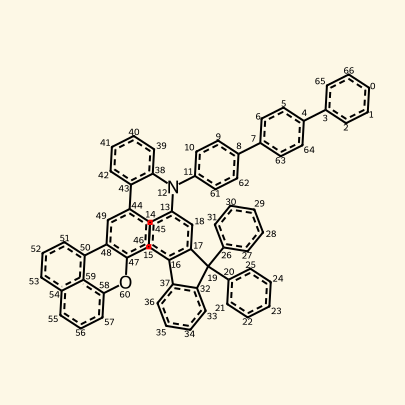 c1ccc(-c2ccc(-c3ccc(N(c4ccc5c(c4)C(c4ccccc4)(c4ccccc4)c4ccccc4-5)c4ccccc4-c4ccc5c(c4)-c4cccc6cccc(c46)O5)cc3)cc2)cc1